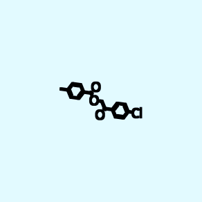 Cc1ccc(C(=O)OCC(=O)c2ccc(Cl)cc2)cc1